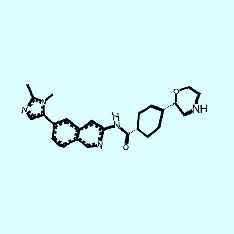 Cc1ncc(-c2ccc3cnc(NC(=O)[C@H]4CC[C@@H](C5CNCCO5)CC4)cc3c2)n1C